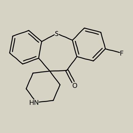 O=C1c2cc(F)ccc2Sc2ccccc2C12CCNCC2